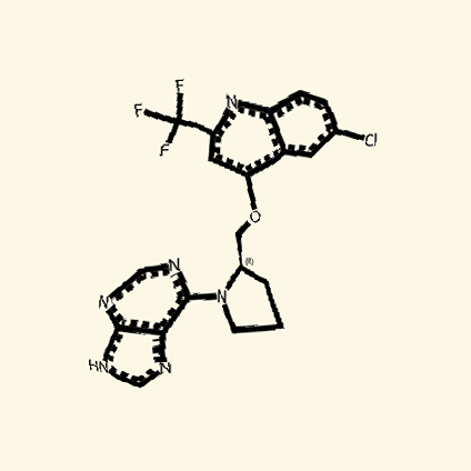 FC(F)(F)c1cc(OC[C@H]2CCCN2c2ncnc3[nH]cnc23)c2cc(Cl)ccc2n1